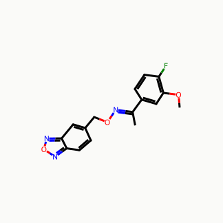 COc1cc(/C(C)=N/OCc2ccc3nonc3c2)ccc1F